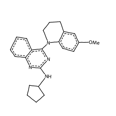 COc1ccc2c(c1)CCCN2c1nc(NC2CCCC2)nc2ccccc12